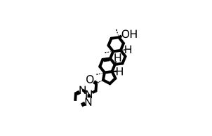 C=NN(CC(=O)[C@H]1CC[C@H]2[C@@H]3CC[C@@H]4C[C@](C)(O)CC[C@]4(C)C3=CC[C@]12C)/N=C\C